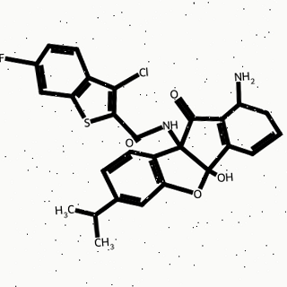 CC(C)c1ccc2c(c1)OC1(O)C3=C(C(=O)C21NC(=O)c1sc2cc(F)ccc2c1Cl)C(N)CC=C3